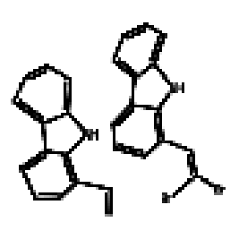 BrC(Br)=Cc1cccc2c1[nH]c1ccccc12.C=Cc1cccc2c1[nH]c1ccccc12